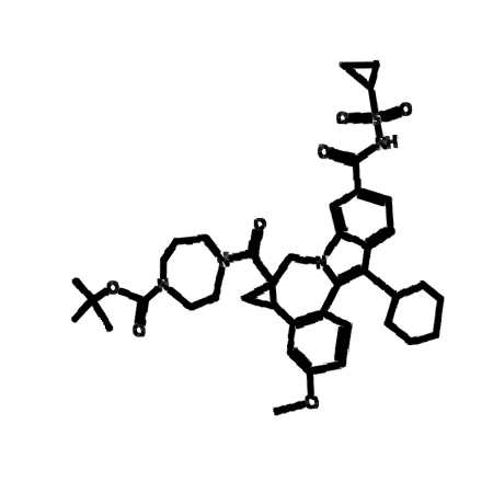 COc1ccc2c(c1)C1CC1(C(=O)N1CCCN(C(=O)OC(C)(C)C)CC1)Cn1c-2c(C2CCCCC2)c2ccc(C(=O)NS(=O)(=O)C3CC3)cc21